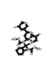 CC(C)(C)OC(=O)N1c2ccccc2C1(C)N(C(=O)OC(C)(C)C)c1cc(-c2cncc(F)c2)nc2c(I)cnn12